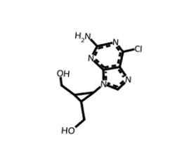 Nc1nc(Cl)c2ncn(C3C(CO)C3CO)c2n1